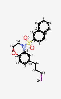 O=S(=O)(c1ccc2ccccc2c1)N1CCOc2ccc(CCCI)cc21